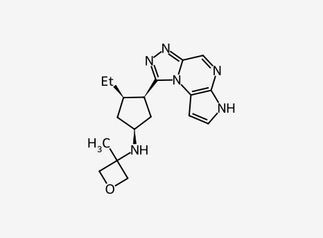 CC[C@@H]1C[C@H](NC2(C)COC2)C[C@@H]1c1nnc2cnc3[nH]ccc3n12